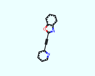 C(#Cc1nc2ccccc2o1)c1ccccn1